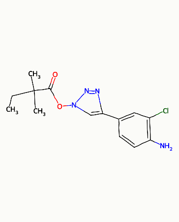 CCC(C)(C)C(=O)On1cc(-c2ccc(N)c(Cl)c2)nn1